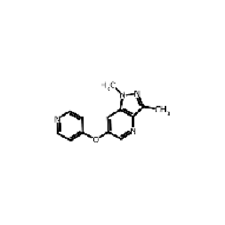 Cc1nn(C)c2cc(Oc3ccncc3)cnc12